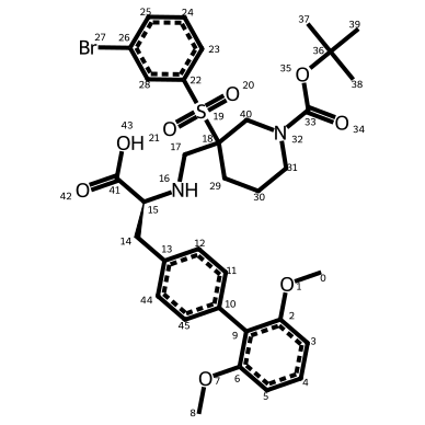 COc1cccc(OC)c1-c1ccc(C[C@H](NCC2(S(=O)(=O)c3cccc(Br)c3)CCCN(C(=O)OC(C)(C)C)C2)C(=O)O)cc1